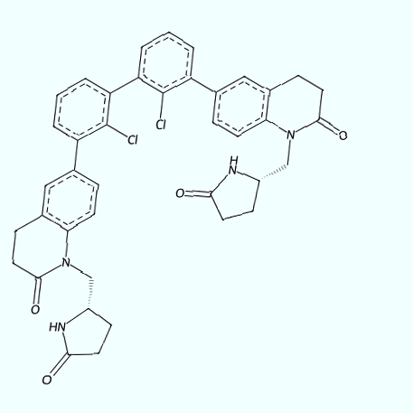 O=C1CC[C@@H](CN2C(=O)CCc3cc(-c4cccc(-c5cccc(-c6ccc7c(c6)CCC(=O)N7C[C@@H]6CCC(=O)N6)c5Cl)c4Cl)ccc32)N1